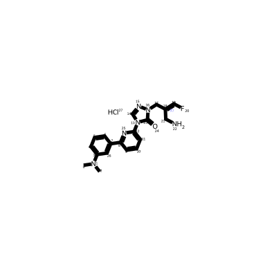 CN(C)c1cccc(-c2cccc(-n3cnn(C/C(=C/F)CN)c3=O)n2)c1.Cl